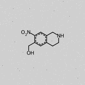 O=[N+]([O-])c1cc2c(cc1CO)CCNC2